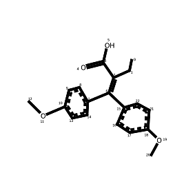 CCC(C(=O)O)=C(c1ccc(OC)cc1)c1ccc(OC)cc1